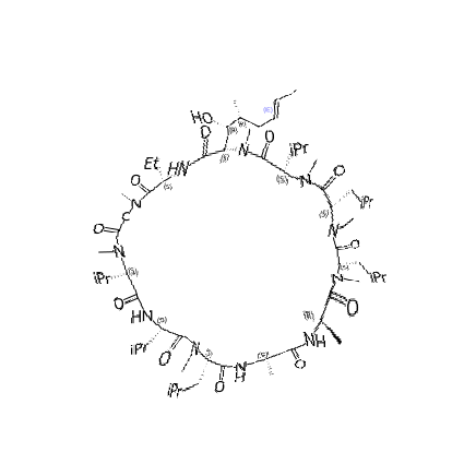 C/C=C/C[C@@H](C)[C@@H](O)[C@H]1C(=O)N[C@@H](CC)C(=O)N(C)CC(=O)N(C)[C@@H](C(C)C)C(=O)N[C@@H](C(C)C)C(=O)N(C)[C@@H](CC(C)C)C(=O)N[C@@H](C)C(=O)N[C@H](C)C(=O)N(C)[C@@H](CC(C)C)C(=O)N(C)[C@@H](CC(C)C)C(=O)N(C)[C@@H](C(C)C)C(=O)N1C